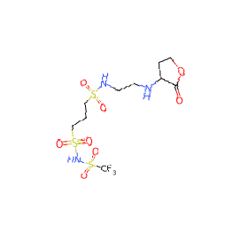 O=C1OCCC1NCCNS(=O)(=O)CCCS(=O)(=O)NS(=O)(=O)C(F)(F)F